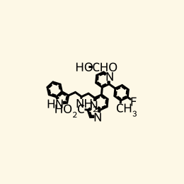 Cc1cc(-c2ncccc2-c2ccc3ncc(C(=O)O)n3c2CC(N)Cc2c[nH]c3ccccc23)ccc1F.O=CO